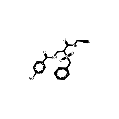 N#CCNC(=O)C(CNC(=O)c1ccc(O)cc1)S(=O)(=O)Cc1ccccc1